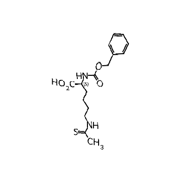 CC(=S)NCCCC[C@H](NC(=O)OCc1ccccc1)C(=O)O